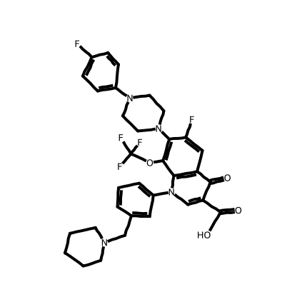 O=C(O)c1cn(-c2cccc(CN3CCCCC3)c2)c2c(OC(F)(F)F)c(N3CCN(c4ccc(F)cc4)CC3)c(F)cc2c1=O